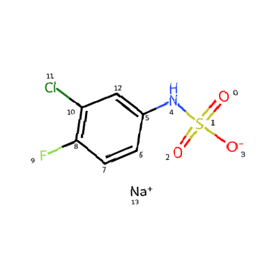 O=S(=O)([O-])Nc1ccc(F)c(Cl)c1.[Na+]